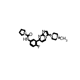 CN1CCN(c2cnc3nc(-c4cc(NC(=O)N5CCCC5)ccc4F)ccn23)CC1